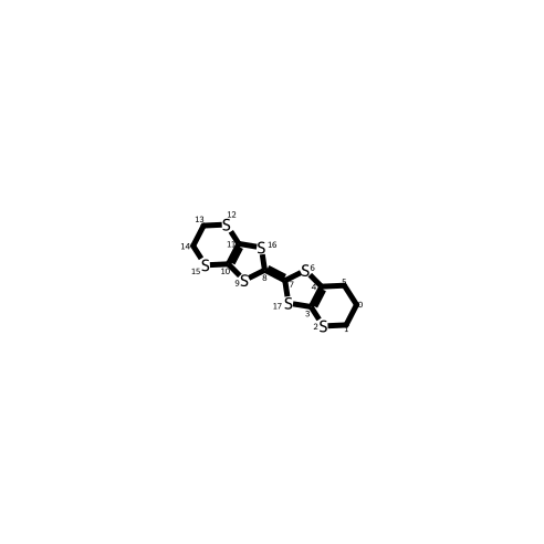 C1CSC2=C(C1)SC(=C1SC3=C(SCCS3)S1)S2